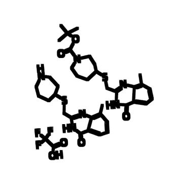 Cc1cccc2c(=O)[nH]c(CSC3CCCN(C(=O)OC(C)(C)C)CC3)nc12.Cc1cccc2c(=O)[nH]c(CSC3CCCNCC3)nc12.O=C(O)C(F)(F)F